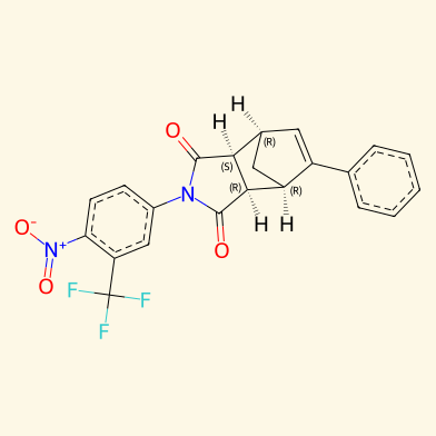 O=C1[C@@H]2[C@H](C(=O)N1c1ccc([N+](=O)[O-])c(C(F)(F)F)c1)[C@H]1C[C@@H]2C=C1c1ccccc1